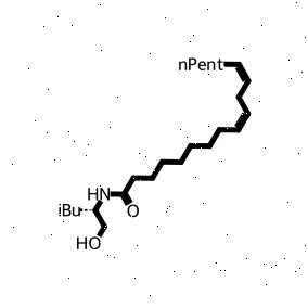 CCCCC/C=C\C/C=C\CCCCCCCC(=O)N[C@H](CO)C(C)CC